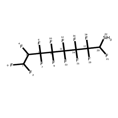 FC(F)C(F)C(F)(F)C(F)(F)C(F)(F)C(F)(F)C(F)(F)C(F)[SiH3]